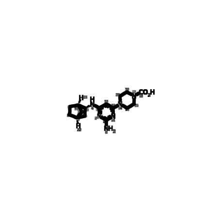 Nc1nc(N[C@@H]2C[C@H]3CC[C@@H]2C3)cc(N2CCN(C(=O)O)CC2)n1